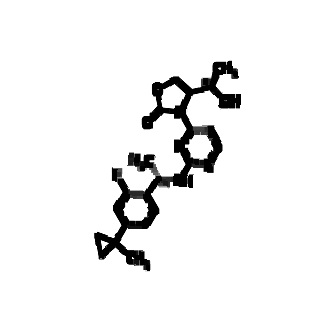 C[C@H](Nc1nccc(N2C(=O)OCC2[C@@H](C)O)n1)c1ccc(C2(C)CC2)cc1F